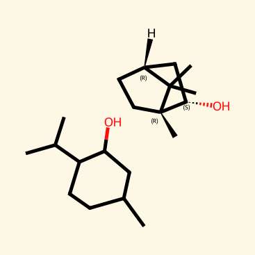 CC1(C)[C@@H]2CC[C@@]1(C)[C@@H](O)C2.CC1CCC(C(C)C)C(O)C1